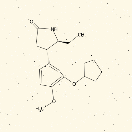 CC[C@@H]1NC(=O)C[C@H]1c1ccc(OC)c(OC2CCCC2)c1